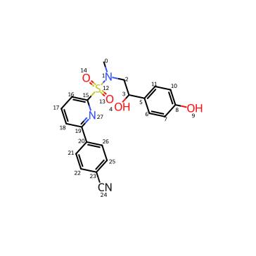 CN(CC(O)c1ccc(O)cc1)S(=O)(=O)c1cccc(-c2ccc(C#N)cc2)n1